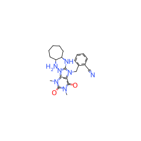 Cn1c(=O)c2c(nc(N[C@@H]3CCCCC[C@@H]3N)n2Cc2ccccc2C#N)n(C)c1=O